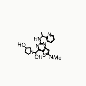 CNc1cc2nc(NC(C)c3ccccn3)nc(C(O)N3CCC(O)C3)c2s1